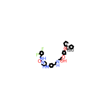 CC(C)(C)[Si](Oc1ccc(OC[C@@H](O)CNCCc2ccc(NC3CCN(C(=O)NCc4ccc(F)cc4F)CC3)cc2)cc1)(c1ccccc1)c1ccccc1